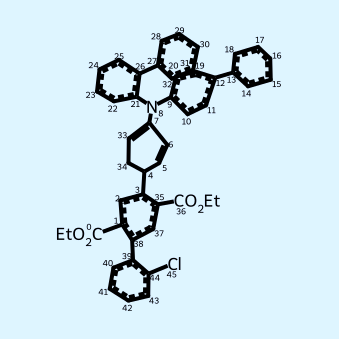 CCOC(=O)c1cc(C2C=CC(N(c3ccc(-c4ccccc4)cc3)c3ccccc3-c3ccccc3)=CC2)c(C(=O)OCC)cc1-c1ccccc1Cl